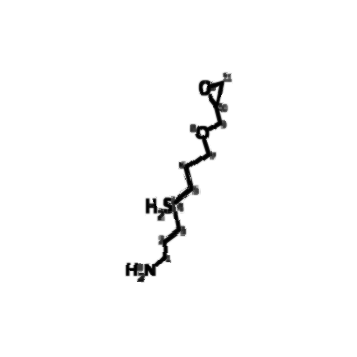 NCCC[SiH2]CCCOCC1CO1